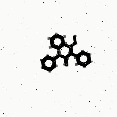 CCC(=C(C(=O)Nc1ccccc1)c1ccccc1)c1ccccc1